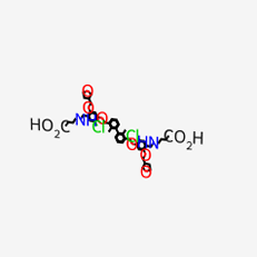 Cc1c(COc2cc(OCC3CCOC3)c(CNCCCC(=O)O)cc2Cl)cccc1-c1cccc(COc2cc(OCC3CCOC3)c(CNCCCC(=O)O)cc2Cl)c1C